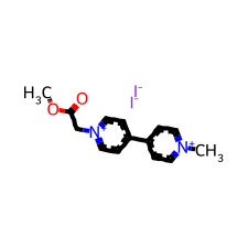 COC(=O)C[n+]1ccc(-c2cc[n+](C)cc2)cc1.[I-].[I-]